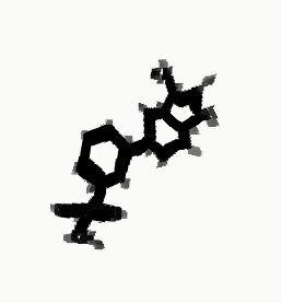 CS(=O)(=O)c1cccc(-c2ccc3[nH]nc(N)c3c2)c1